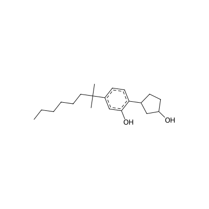 CCCCCCC(C)(C)c1ccc(C2CCC(O)C2)c(O)c1